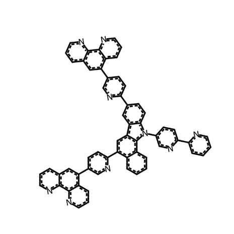 c1ccc(-c2ccc(-n3c4ccc(-c5ccc(-c6cc7cccnc7c7ncccc67)cn5)cc4c4cc(-c5ccc(-c6cc7cccnc7c7ncccc67)cn5)c5ccccc5c43)cn2)nc1